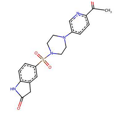 CC(=O)c1ccc(N2CCN(S(=O)(=O)c3ccc4c(c3)CC(=O)N4)CC2)cn1